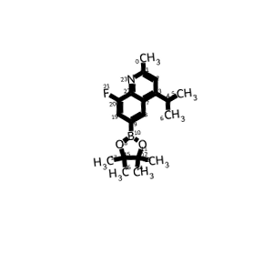 Cc1cc(C(C)C)c2cc(B3OC(C)(C)C(C)(C)O3)cc(F)c2n1